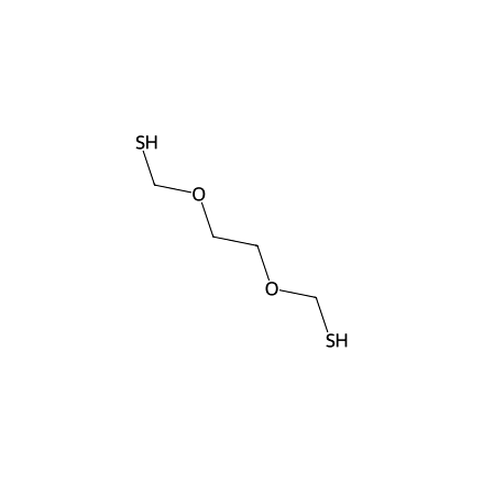 SCOCCOCS